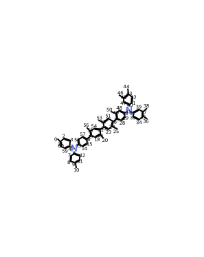 Cc1ccc(N(c2ccc(C)cc2)c2ccc(-c3cc(C)c(-c4cc(C)c(-c5ccc(N(c6ccc(C)c(C)c6)c6ccc(C)c(C)c6)cc5C)cc4C)cc3C)cc2)cc1